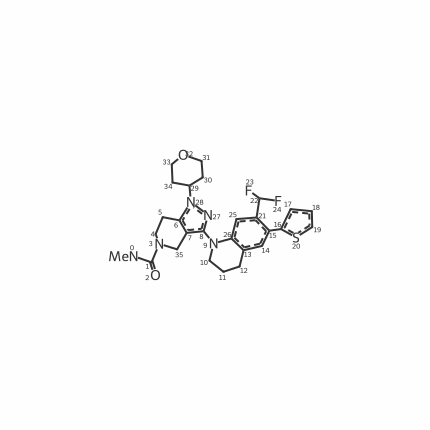 CNC(=O)N1CCc2c(c(N3CCCc4cc(-c5cccs5)c(C(F)F)cc43)nn2C2CCOCC2)C1